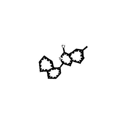 Cc1ccc2cc(-c3cccc4ccccc34)nc(Cl)c2c1